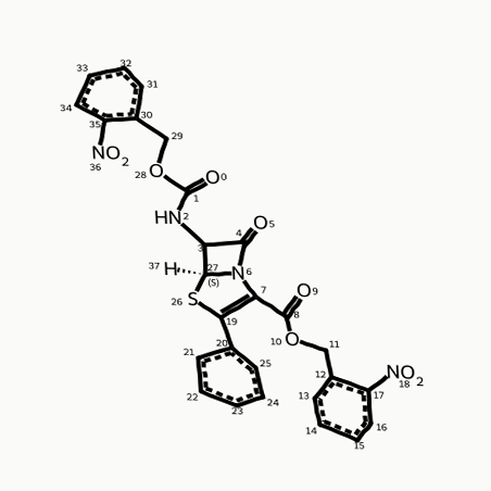 O=C(NC1C(=O)N2C(C(=O)OCc3ccccc3[N+](=O)[O-])=C(c3ccccc3)S[C@@H]12)OCc1ccccc1[N+](=O)[O-]